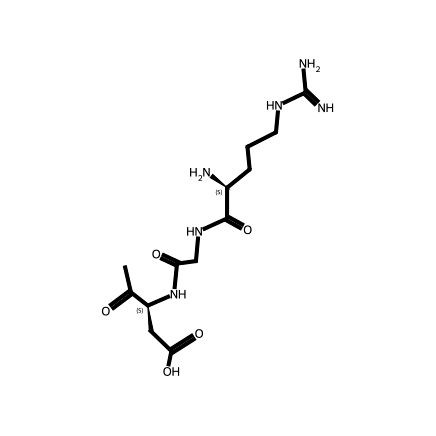 CC(=O)[C@H](CC(=O)O)NC(=O)CNC(=O)[C@@H](N)CCCNC(=N)N